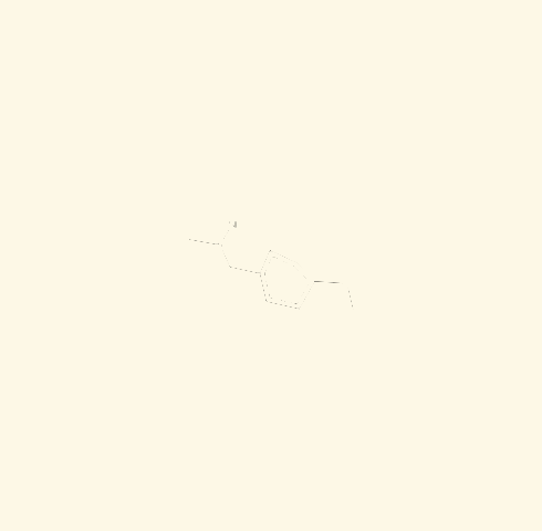 CSc1ccc(CN(C)N)cc1